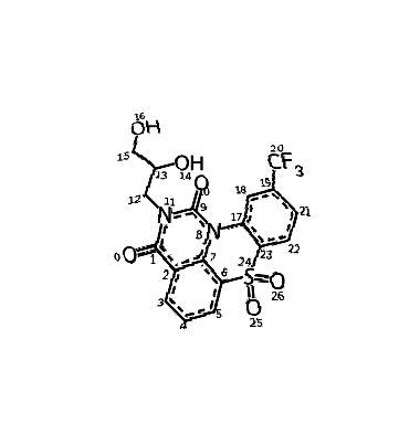 O=c1c2cccc3c2n(c(=O)n1CC(O)CO)-c1cc(C(F)(F)F)ccc1S3(=O)=O